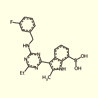 CCc1nc(NCc2cccc(F)c2)nc(-c2c(C)[nH]c3c(B(O)O)cccc23)n1